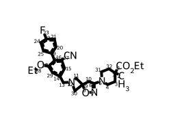 CCOC(=O)C1(C)CCN(C2=NOC3(C2)CN(Cc2cc(C#N)c(-c4ccc(F)cc4)c(OCC)c2)C3)CC1